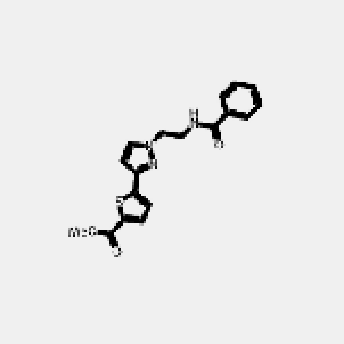 COC(=O)c1ccc(-c2ccn(CCNC(=O)c3ccccc3)n2)s1